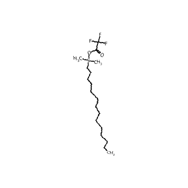 CCCCCCCCCCCCCC[Si](C)(C)OC(=O)C(F)(F)F